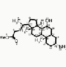 COC(=O)CC[C@@H](C)[C@H]1CCC2[C@H]3C(CC[C@@]21C)[C@@]1(C)CC[C@@H](N)CC1C[C@@H]3O